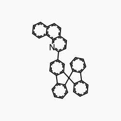 c1ccc2c(c1)-c1ccccc1C21c2ccccc2-c2ccc(-c3ccc4ccc5ccccc5c4n3)cc21